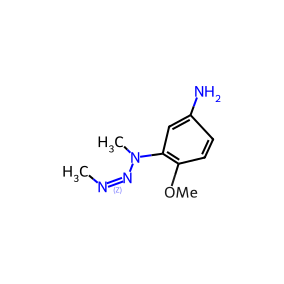 C/N=N\N(C)c1cc(N)ccc1OC